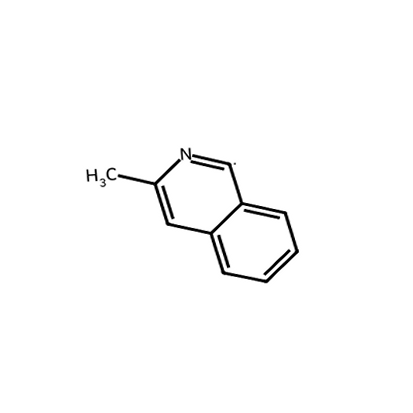 Cc1cc2ccccc2[c]n1